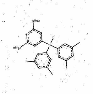 CCCCCCc1cc(CCCCCC)cc([Si](Cl)(c2cc(C)cc(C)c2)c2cc(C)cc(C)c2)c1